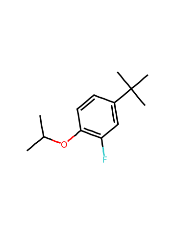 CC(C)Oc1ccc(C(C)(C)C)cc1F